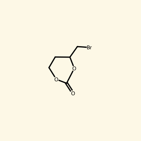 O=C1OCCC(CBr)O1